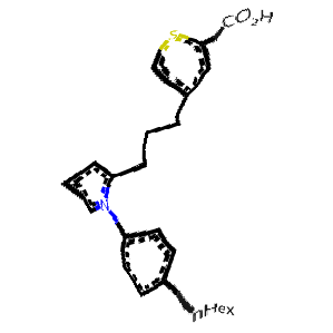 CCCCCCc1ccc(-n2cccc2CCCc2csc(C(=O)O)c2)cc1